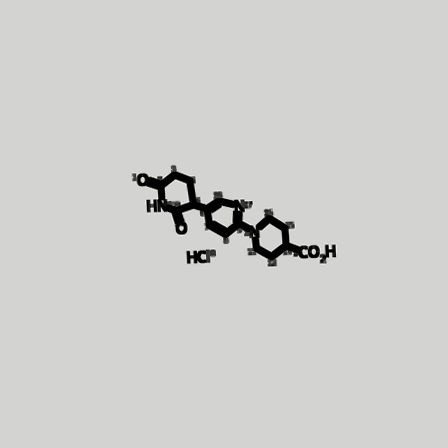 Cl.O=C1CCC(c2ccc(N3CCC(C(=O)O)CC3)nc2)C(=O)N1